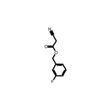 N#CCC(=O)OCc1cccc(F)c1